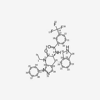 CCN1C(=O)[C@@H](NC(=O)c2cccc(C(F)(F)F)c2)[C@H](c2cccc3c2CNC3)c2cnn(-c3ccccc3)c21